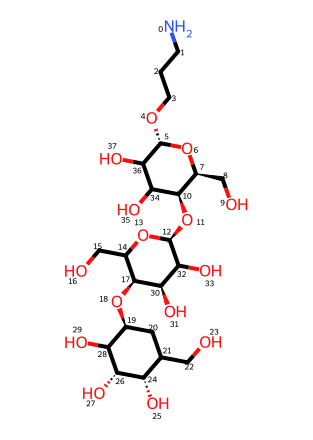 NCCCO[C@@H]1O[C@@H](CO)[C@@H](O[C@@H]2OC(CO)[C@H](O[C@H]3CC(CO)[C@H](O)[C@H](O)C3O)[C@H](O)C2O)C(O)C1O